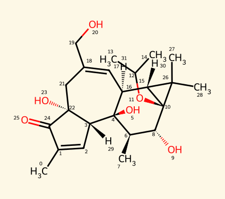 CC1=C[C@H]2[C@@]3(O)[C@H](C)[C@@H](O)[C@]4(OC(C)C)[C@H]([C@@H]3C=C(CO)C[C@]2(O)C1=O)C4(C)C